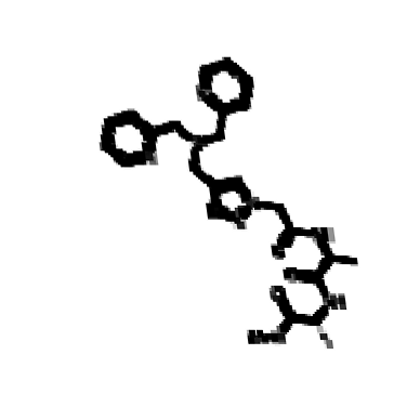 COC(=O)[C@@H](C)NC(=O)C(C)NC(=O)Cn1cc(CN(Cc2ccccn2)Cc2ccccn2)nn1